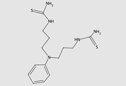 NC(=S)NCCCN(CCCNC(N)=S)c1ccccc1